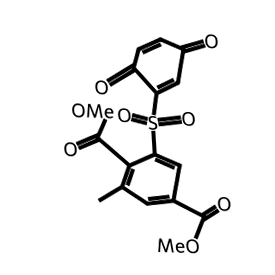 COC(=O)c1cc(C)c(C(=O)OC)c(S(=O)(=O)C2=CC(=O)C=CC2=O)c1